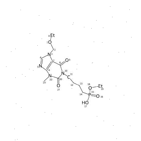 CCOCn1cnc2c1c(=O)n(CCCCP(=O)(O)OCC)c(=O)n2C